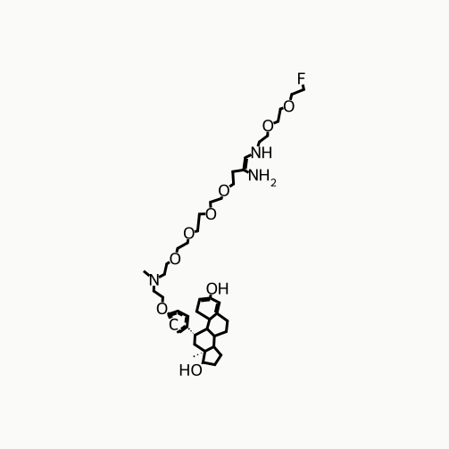 CN(CCOCCOCCOCCOCC/C(N)=C/NCCOCCOCCF)CCOc1ccc([C@H]2C[C@@]3(C)C(CC[C@@H]3O)C3CCC4=CC(O)=CCC4C32)cc1